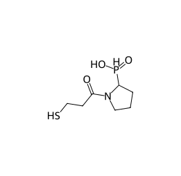 O=C(CCS)N1CCCC1[PH](=O)O